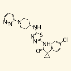 O=C(Nc1nnc(NC2CCN(c3cccnn3)CC2)s1)C1(c2ccc(Cl)cc2)CC1